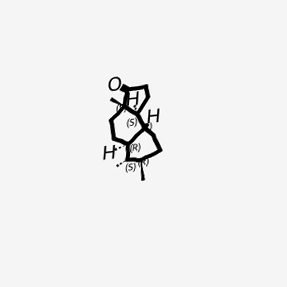 C[C@@H]1[C@H]2CC[C@]3(C)C(=O)CC[C@H]3[C@@H]2CC[C@H]1C